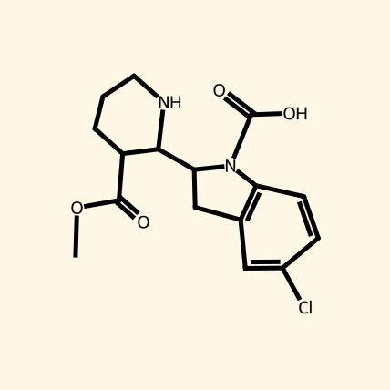 COC(=O)C1CCCNC1C1Cc2cc(Cl)ccc2N1C(=O)O